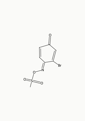 CS(=O)(=O)ON=C1C=CC(=O)C=C1Br